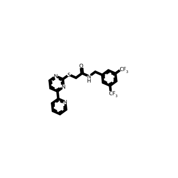 O=C(CSc1nccc(-c2ccccn2)n1)NCc1cc(C(F)(F)F)cc(C(F)(F)F)c1